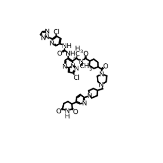 C[C@H](c1c(NC(=O)Nc2cnc(-n3nccn3)c(Cl)c2)cnc2cc(Cl)nn12)N(C)C(=O)C1CCC(C(=O)N2CCN(CC3CCN(c4ccc(C5CCC(=O)NC5=O)cn4)CC3)CC2)CC1